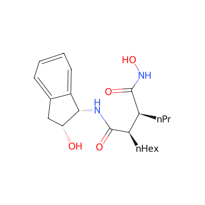 CCCCCC[C@@H](C(=O)N[C@H]1c2ccccc2C[C@H]1O)[C@H](CCC)C(=O)NO